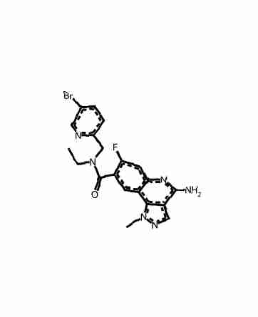 CCN(Cc1ccc(Br)cn1)C(=O)c1cc2c(cc1F)nc(N)c1cnn(C)c12